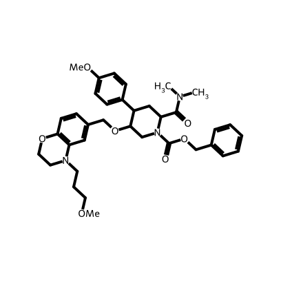 COCCCN1CCOc2ccc(COC3CN(C(=O)OCc4ccccc4)C(C(=O)N(C)C)CC3c3ccc(OC)cc3)cc21